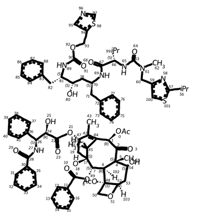 CC(=O)O[C@H]1C(=O)[C@@]2(C)[C@H]([C@H](OC(=O)c3ccccc3)[C@]3(O)C[C@H](OC(=O)[C@H](O)[C@@H](NC(=O)c4ccccc4)c4ccccc4)C(C)=C1C3(C)C)[C@]1(OC(C)=O)CO[C@@H]1C[C@@H]2O.CC(C)c1nc(CN(C)C(=O)N[C@H](C(=O)N[C@@H](Cc2ccccc2)C[C@H](O)[C@H](Cc2ccccc2)NC(=O)OCc2cncs2)C(C)C)cs1